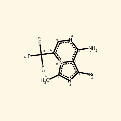 Cc1nc(Br)c2c(N)ncc(C(F)(F)F)n12